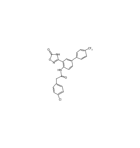 O=C(Cc1ccc(Cl)cc1)Nc1ccc(-c2ccc(C(F)(F)F)cc2)cc1-c1noc(=O)[nH]1